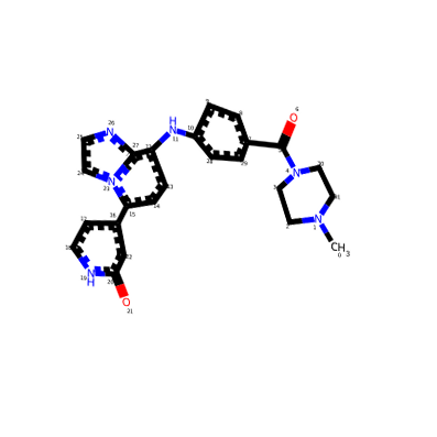 CN1CCN(C(=O)c2ccc(Nc3ccc(-c4cc[nH]c(=O)c4)n4ccnc34)cc2)CC1